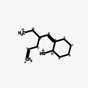 C=CCC(/C=C1/CCCCC1O)CC